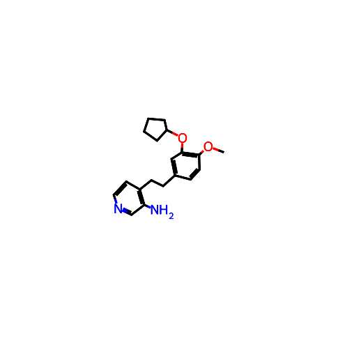 COc1ccc(CCc2ccncc2N)cc1OC1CCCC1